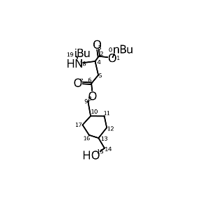 CCCCOC(=O)C(CC(=O)OCC1CCC(CO)CC1)NC(C)CC